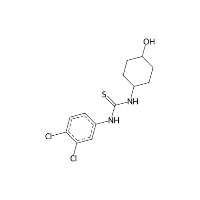 OC1CCC(NC(=S)Nc2ccc(Cl)c(Cl)c2)CC1